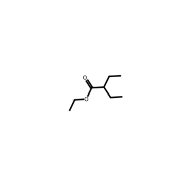 C[CH]OC(=O)C(CC)CC